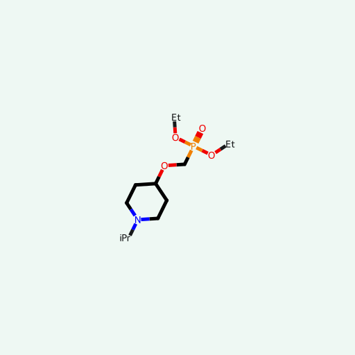 CCOP(=O)(COC1CCN(C(C)C)CC1)OCC